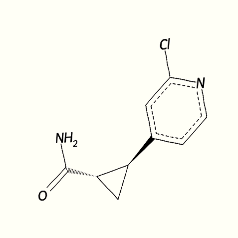 NC(=O)[C@H]1C[C@@H]1c1ccnc(Cl)c1